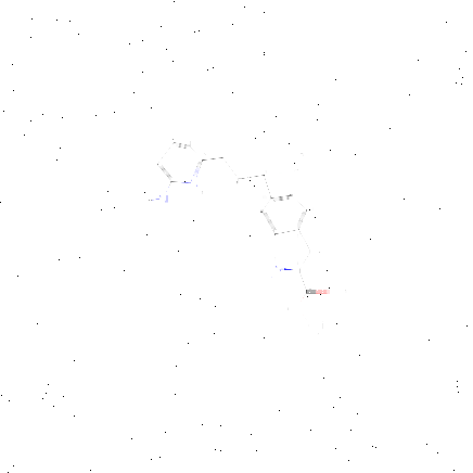 CNc1cccc(CCCc2ccc(C[C@H](N)C(=O)OC)cc2)n1.Cl.Cl